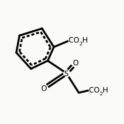 O=C(O)CS(=O)(=O)c1ccccc1C(=O)O